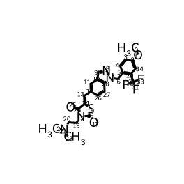 COc1ccc(Cn2ncc3cc(/C=C4\SC(=O)N(CCN(C)C)C4=O)ccc32)c(C(F)(F)F)c1